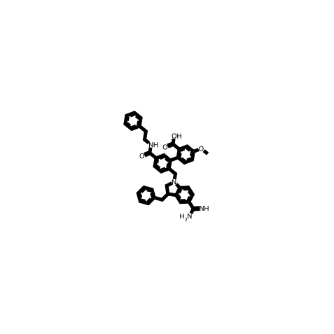 COc1ccc(-c2cc(C(=O)NCCc3ccccc3)ccc2CN2CC(Cc3ccccc3)c3cc(C(=N)N)ccc32)c(C(=O)O)c1